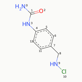 NC(=O)Nc1ccc(CNCl)cc1